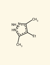 CCc1c(C)n[nH]c1C.N